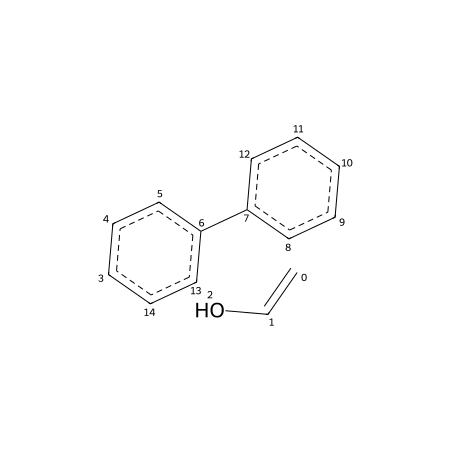 C=CO.c1ccc(-c2ccccc2)cc1